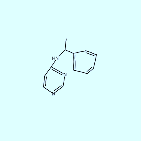 CC(Nc1ccncn1)c1ccccc1